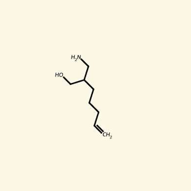 C=CCCCC(CN)CO